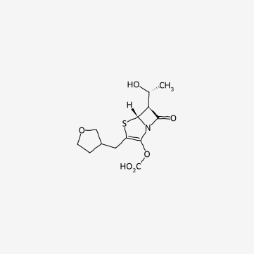 C[C@@H](O)[C@H]1C(=O)N2C(OC(=O)O)=C(CC3CCOC3)S[C@H]12